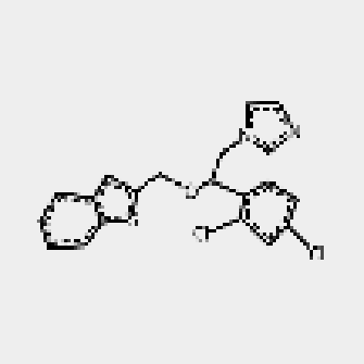 Clc1ccc(C(Cn2ccnc2)OCc2cc3ccccc3s2)c(Cl)c1